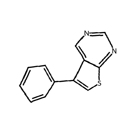 c1ccc(-c2csc3ncncc23)cc1